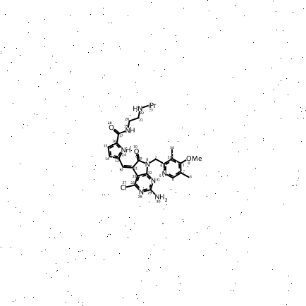 COc1c(C)cnc(CN2C(=O)/C(=C\c3ccc(C(=O)NCCNC(C)C)[nH]3)c3c(Cl)nc(N)nc32)c1C